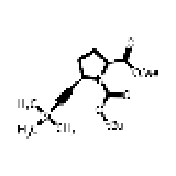 COC(=O)[C@@H]1CC[C@H](C#C[Si](C)(C)C)N1C(=O)OC(C)(C)C